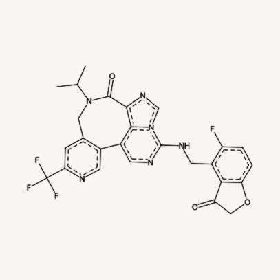 CC(C)N1Cc2cc(C(F)(F)F)ncc2-c2cnc(NCc3c(F)ccc4c3C(=O)CO4)n3cnc(c23)C1=O